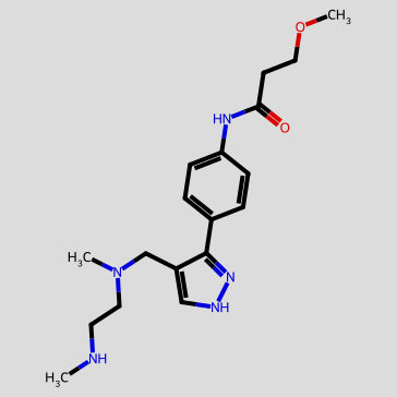 CNCCN(C)Cc1c[nH]nc1-c1ccc(NC(=O)CCOC)cc1